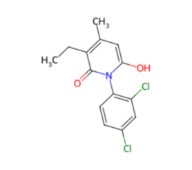 CCc1c(C)cc(O)n(-c2ccc(Cl)cc2Cl)c1=O